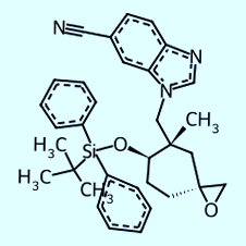 CC(C)(C)[Si](O[C@@H]1CC[C@@]2(CO2)C[C@@]1(C)Cn1cnc2ccc(C#N)cc21)(c1ccccc1)c1ccccc1